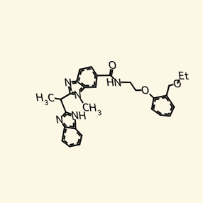 CCOCc1ccccc1OCCNC(=O)c1ccc2nc(C(C)c3nc4ccccc4[nH]3)n(C)c2c1